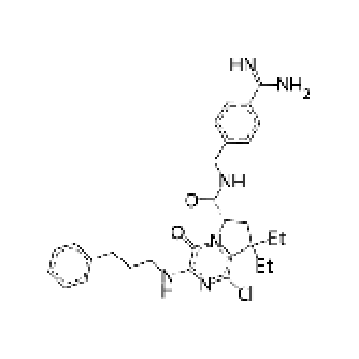 CCC1(CC)C[C@@H](C(=O)NCc2ccc(C(=N)N)cc2)n2c1c(Cl)nc(NCCCc1ccccc1)c2=O